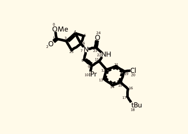 COC(=O)C1=C2CC2(N2C=C(C(C)C)C(c3ccc(CCC(C)(C)C)c(Cl)c3)NC2=O)C1